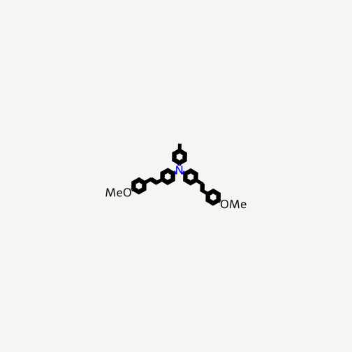 COc1ccc(C=Cc2ccc(N(c3ccc(C)cc3)c3ccc(C=Cc4ccc(OC)cc4)cc3)cc2)cc1